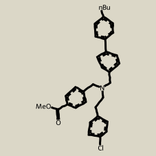 CCCCc1ccc(-c2ccc(CN(CCc3ccc(Cl)cc3)Cc3ccc(C(=O)OC)cc3)cc2)cc1